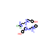 NC1(CCCNc2nccc(-c3ccc(O)cc3)n2)N=c2ccccc2=N1.Oc1ccc(-c2ccnc(NCCCc3nc(Cl)c(Cl)[nH]3)n2)cc1